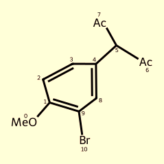 COc1ccc(C(C(C)=O)C(C)=O)cc1Br